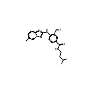 COc1cc(C(=O)NCCN(C)C)ccc1Nc1nc2ccc(C)cn2n1